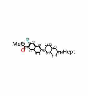 CCCCCCCC1CCC2CC(c3ccc4cc(C(=O)OC)c(F)cc4c3)CCC2C1